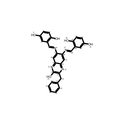 Oc1ccc(O)c(C=Nc2cc3nc(O)c(Cc4ccccc4)nc3cc2N=Cc2cc(O)ccc2O)c1